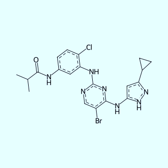 CC(C)C(=O)Nc1ccc(Cl)c(Nc2ncc(Br)c(Nc3cc(C4CC4)n[nH]3)n2)c1